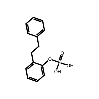 O=P(O)(O)Oc1ccccc1CCc1ccccc1